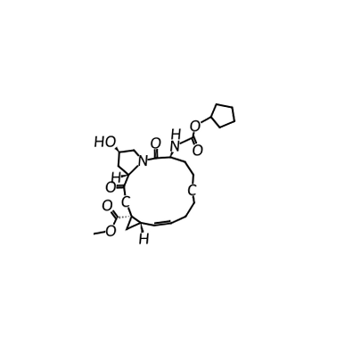 COC(=O)[C@]12CC(=O)[C@@H]3C[C@@H](O)CN3C(=O)[C@@H](NC(=O)OC3CCCC3)CCCCC/C=C\[C@@H]1C2